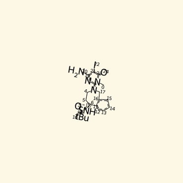 Cn1c(N2CC[C@H](N[S@+]([O-])C(C)(C)C)c3ccccc3C2)nc(N)c(I)c1=O